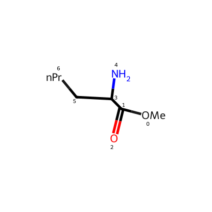 [CH2]OC(=O)C(N)CCCC